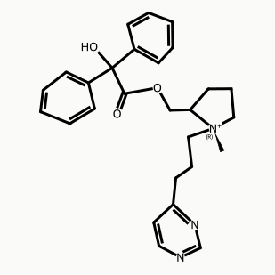 C[N@+]1(CCCc2ccncn2)CCCC1COC(=O)C(O)(c1ccccc1)c1ccccc1